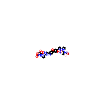 COC(=O)NC(C(=O)N1CCCC1c1ncc(-c2ccc3c(c2)oc2cc(-c4ccc([C@@H]5CCCN5C(O)[C@@H](NC(=O)OC)C(C)C)[nH]4)ccc23)[nH]1)[C@@H](C)OC